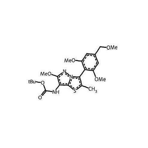 COCc1cc(OC)c(-c2c(C)sc3c(NC(=O)OC(C)(C)C)c(OC)nn23)c(OC)c1